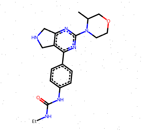 CCNC(=O)Nc1ccc(-c2nc(N3CCOCC3C)nc3c2CNC3)cc1